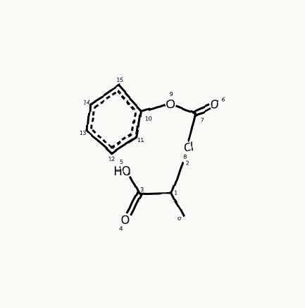 CC(C)C(=O)O.O=C(Cl)Oc1ccccc1